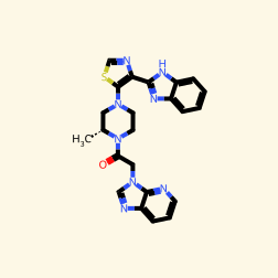 C[C@@H]1CN(c2scnc2-c2nc3ccccc3[nH]2)CCN1C(=O)Cn1cnc2cccnc21